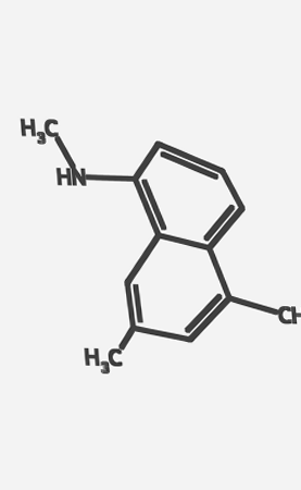 CNc1cccc2c(C)cc(C)cc12